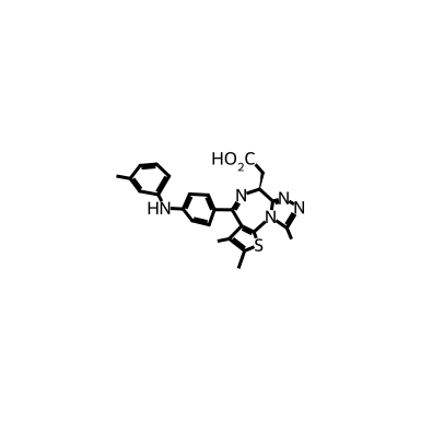 Cc1cccc(Nc2ccc(C3=N[C@@H](CC(=O)O)c4nnc(C)n4-c4sc(C)c(C)c43)cc2)c1